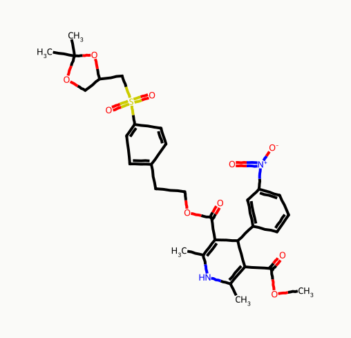 COC(=O)C1=C(C)NC(C)=C(C(=O)OCCc2ccc(S(=O)(=O)CC3COC(C)(C)O3)cc2)C1c1cccc([N+](=O)[O-])c1